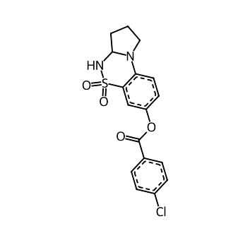 O=C(Oc1ccc2c(c1)S(=O)(=O)NC1CCCN21)c1ccc(Cl)cc1